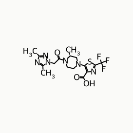 Cc1nc(C)n(CC(=O)N2CCN(c3sc(C(F)(F)F)nc3C(=O)O)C[C@@H]2C)n1